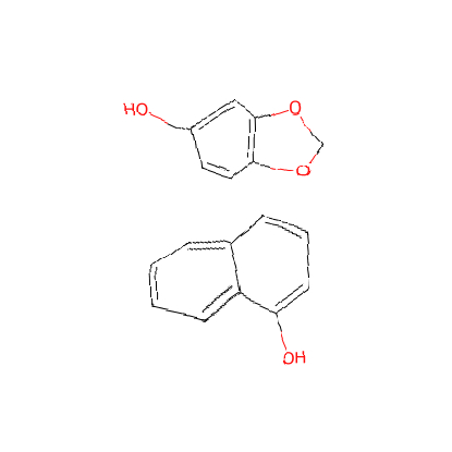 Oc1ccc2c(c1)OCO2.Oc1cccc2ccccc12